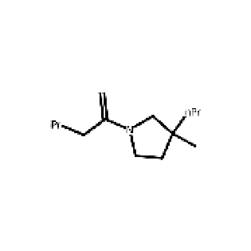 C=C(CC(C)C)N1CCC(C)(CCC)C1